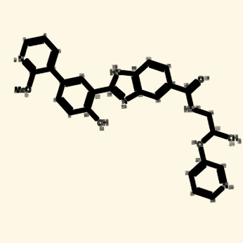 COc1ncccc1-c1ccc(O)c(-c2nc3cc(C(=O)NCC(C)Oc4cccnc4)ccc3[nH]2)c1